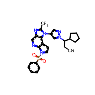 N#CCC(C1CCCC1)n1cc(-n2c(C(F)(F)F)nc3cnc4c(ccn4S(=O)(=O)c4ccccc4)c32)cn1